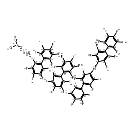 Fc1c(F)c(F)c(-c2c(F)c(F)c(F)c(F)c2F)c(F)c1F.Fc1c(F)c(F)c(-c2c(F)c(F)c(F)c(F)c2F)c(F)c1F.Fc1c(F)c(F)c(-c2c(F)c(F)c(F)c(F)c2F)c(F)c1F.Fc1c(F)c(F)c(-c2c(F)c(F)c(F)c(F)c2F)c(F)c1F.[Li+].[Li+].[Li+].[O-]B([O-])[O-]